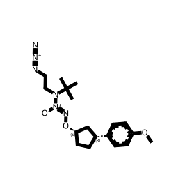 COc1ccc([C@@H]2CC[C@H](ON=[N+]([O-])N(CCN=[N+]=[N-])C(C)(C)C)C2)cc1